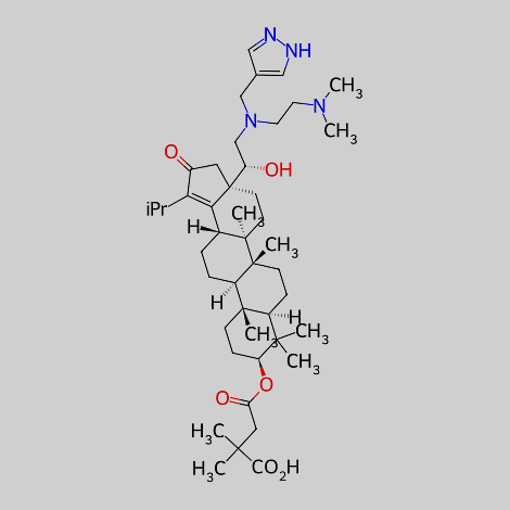 CC(C)C1=C2[C@H]3CC[C@@H]4[C@@]5(C)CC[C@H](OC(=O)CC(C)(C)C(=O)O)C(C)(C)[C@@H]5CC[C@@]4(C)[C@]3(C)CC[C@@]2([C@@H](O)CN(CCN(C)C)Cc2cn[nH]c2)CC1=O